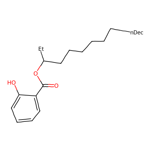 CCCCCCCCCCCCCCCCC(CC)OC(=O)c1ccccc1O